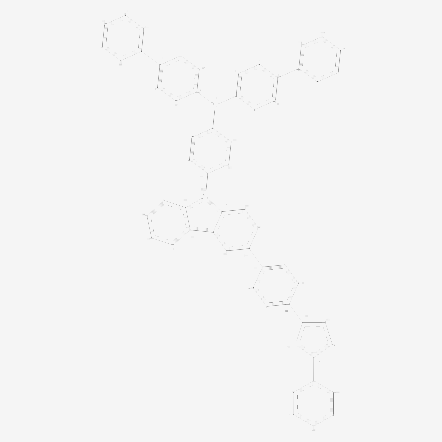 c1ccc(-c2ccc(N(c3ccc(-c4ccccc4)cc3)c3ccc(-n4c5ccccc5c5cc(-c6ccc(-c7ccc(-c8ccccc8)s7)cc6)ccc54)cc3)cc2)cc1